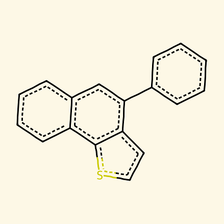 c1ccc(-c2cc3ccccc3c3sccc23)cc1